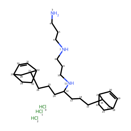 Cl.Cl.Cl.NCCCNCCCNC(CCCC1CC2C=CC1CC2)CCCC1CC2C=CC1CC2